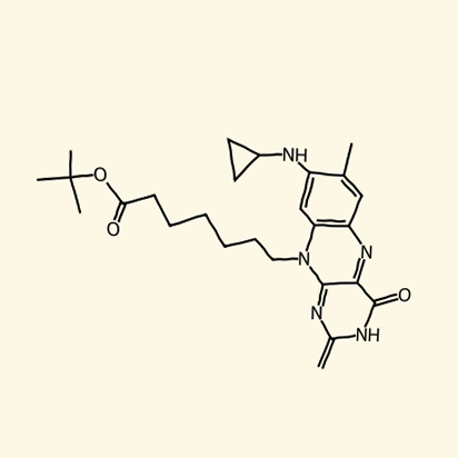 C=c1nc2c(c(=O)[nH]1)=Nc1cc(C)c(NC3CC3)cc1N2CCCCCCC(=O)OC(C)(C)C